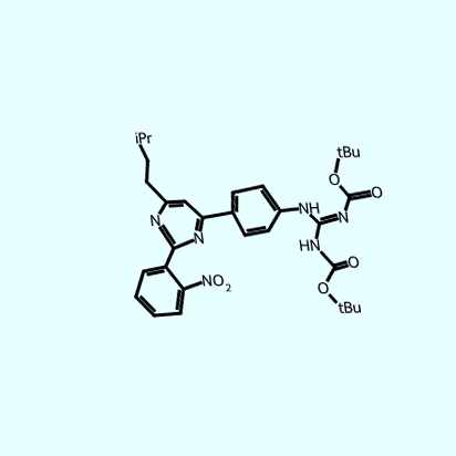 CC(C)CCc1cc(-c2ccc(NC(=NC(=O)OC(C)(C)C)NC(=O)OC(C)(C)C)cc2)nc(-c2ccccc2[N+](=O)[O-])n1